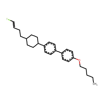 CCCCCOc1ccc(-c2ccc(C3CCC(CCC=CF)CC3)cc2)cc1